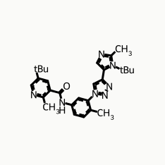 Cc1ccc(NC(=O)c2cc(C(C)(C)C)cnc2C)cc1-n1cc(-c2cnc(C)n2C(C)(C)C)nn1